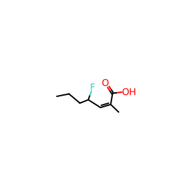 CCCC(F)C=C(C)C(=O)O